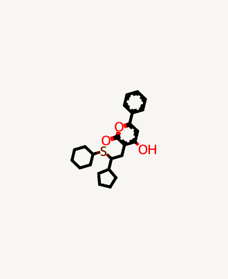 O=c1oc(-c2ccccc2)cc(O)c1CC(SC1CCCCC1)C1CCCC1